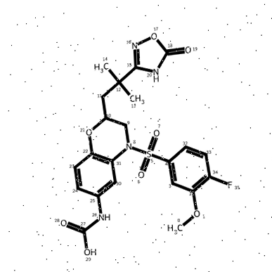 COc1cc(S(=O)(=O)N2CC(CC(C)(C)c3noc(=O)[nH]3)Oc3ccc(NC(=O)O)cc32)ccc1F